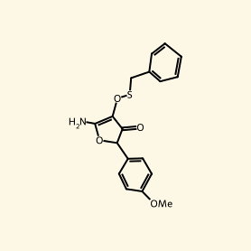 COc1ccc(C2OC(N)=C(OSCc3ccccc3)C2=O)cc1